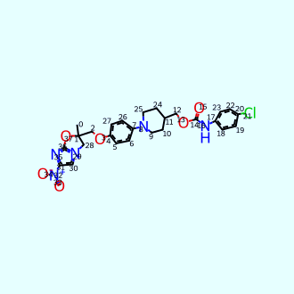 CC1(COc2ccc(N3CCC(COC(=O)Nc4ccc(Cl)cc4)CC3)cc2)Cn2cc([N+](=O)[O-])nc2O1